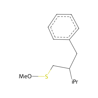 COSCC(Cc1ccccc1)C(C)C